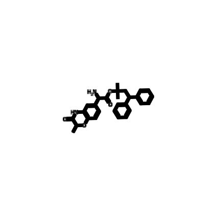 CC1Oc2ccc(C(N)C(=O)OC(C)(C)CC(c3ccccc3)c3ccccc3)cc2NC1=O